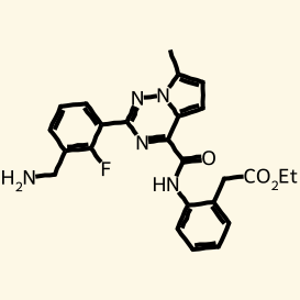 CCOC(=O)Cc1ccccc1NC(=O)c1nc(-c2cccc(CN)c2F)nn2c(C)ccc12